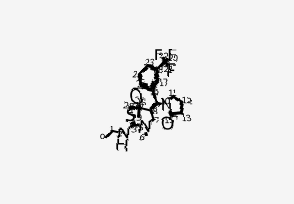 CCNC(=S)N(C)CC1=C(N2CCCC2=O)c2cc(C(F)(F)F)ccc2OC1(C)C